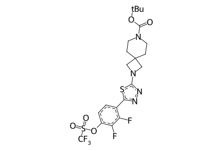 CC(C)(C)OC(=O)N1CCC2(CC1)CN(c1nnc(-c3ccc(OS(=O)(=O)C(F)(F)F)c(F)c3F)s1)C2